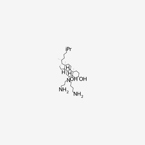 CC(C)CCC[C@@H](C)[C@H]1CC[C@H]2[C@@H]3CC(N(CCCN)CCCCN)C4(O)CC(O)CC[C@]4(C)[C@H]3CC[C@]12C